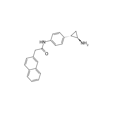 N[C@@H]1C[C@H]1c1ccc(NC(=O)Cc2ccc3ccccc3c2)cc1